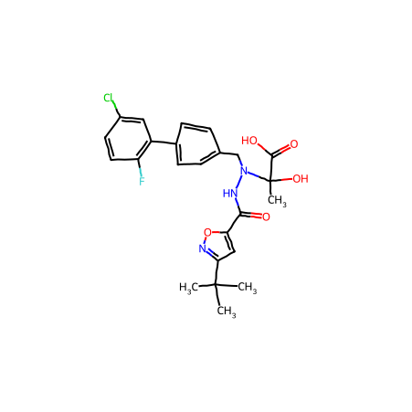 CC(C)(C)c1cc(C(=O)NN(Cc2ccc(-c3cc(Cl)ccc3F)cc2)C(C)(O)C(=O)O)on1